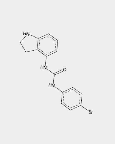 O=C(Nc1ccc(Br)cc1)Nc1cccc2c1CCN2